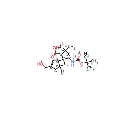 CC(C)(C)OC(=O)NC[C@@]1(C(C(=O)O)C(C)(C)C)C[C@@H]2CC(CO)=C[C@@H]21